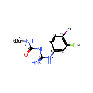 CC(C)(C)NC(=O)NC(=N)Nc1ccc(I)c(F)c1